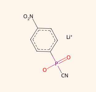 N#CP(=O)([O-])c1ccc([N+](=O)[O-])cc1.[Li+]